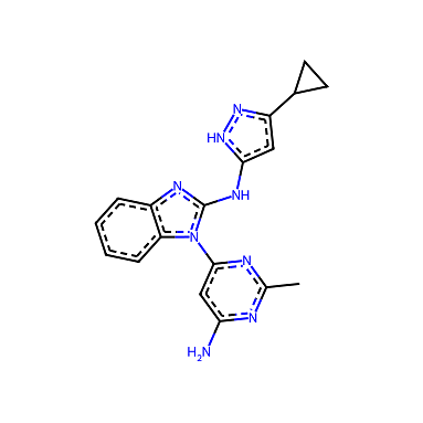 Cc1nc(N)cc(-n2c(Nc3cc(C4CC4)n[nH]3)nc3ccccc32)n1